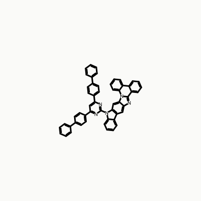 c1ccc(-c2ccc(-c3cc(-c4ccc(-c5ccccc5)cc4)nc(-n4c5ccccc5c5cc6nc7c8ccccc8c8ccccc8n7c6cc54)n3)cc2)cc1